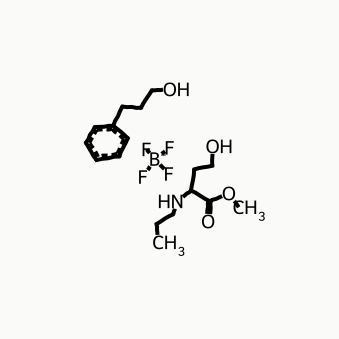 CCCNC(CCO)C(=O)OC.F[B-](F)(F)F.OCCCc1ccccc1